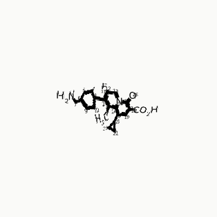 Cc1c(C2C=CC(CN)=CC2)c(F)cn2c(=O)c(C(=O)O)cc(C3CC3)c12